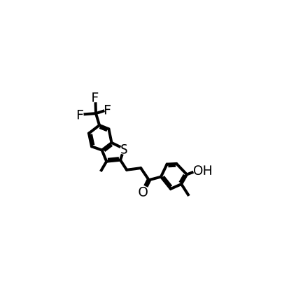 Cc1cc(C(=O)CCc2sc3cc(C(F)(F)F)ccc3c2C)ccc1O